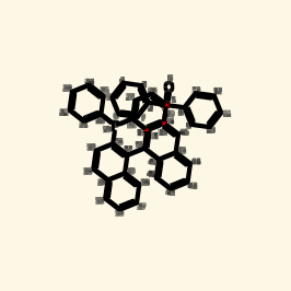 O=P(c1ccccc1)(c1ccccc1)c1cc(-c2c(P(c3ccccc3)c3ccccc3)ccc3ccccc23)c2ccccc2c1